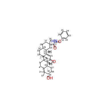 CC1(C)C2CC[C@]3(C)[C@H](C(=O)C=C4[C@@H]5C[C@@](C)(C(=O)NOc6ccccc6)CC[C@]5(C)CC[C@]43C)[C@@]2(C)CC[C@@H]1O